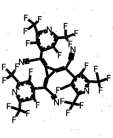 N#CC(=C1C(=C(C#N)c2c(F)c(C(F)(F)F)nc(C(F)(F)F)c2F)C1=C(C#N)c1c(F)c(C(F)(F)F)nc(C(F)(F)F)c1F)c1c(F)c(C(F)(F)F)nc(C(F)(F)F)c1F